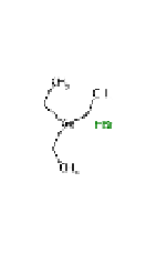 Br.C[CH2][Ge]([CH2]C)[CH2]C